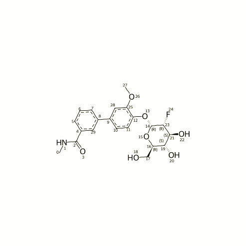 CNC(=O)c1cccc(-c2ccc(O[C@H]3O[C@H](CO)[C@@H](O)[C@H](O)[C@H]3F)c(OC)c2)c1